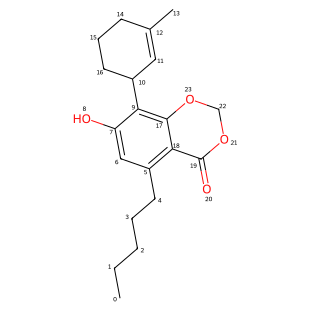 CCCCCc1cc(O)c(C2C=C(C)CCC2)c2c1C(=O)OCO2